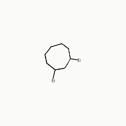 [CH2]CC1CCCCCC(CC)C1